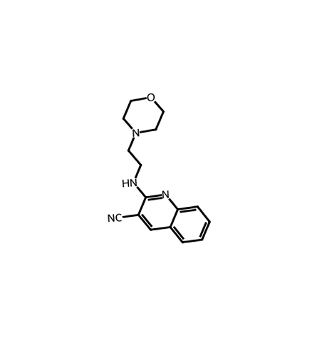 N#Cc1cc2ccccc2nc1NCCN1CCOCC1